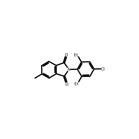 CCc1cc(Cl)cc(CC)c1N1C(=O)c2ccc(C)cc2C1=O